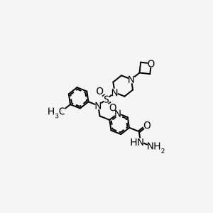 Cc1cccc(N(Cc2ccc(C(=O)NN)cn2)S(=O)(=O)N2CCN(C3COC3)CC2)c1